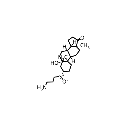 C[C@]12CC[C@H]3[C@@H](CC[C@@]4(O)C[C@@H]([S+]([O-])CCCN)CC[C@]34C)[C@@H]1CCC2=O